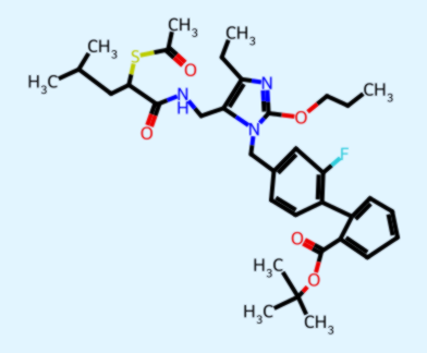 CCCOc1nc(CC)c(CNC(=O)C(CC(C)C)SC(C)=O)n1Cc1ccc(-c2ccccc2C(=O)OC(C)(C)C)c(F)c1